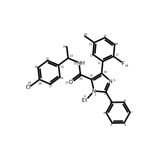 CCn1c(-c2ccccc2)nc(-c2cc(C)ccc2F)c1C(=O)NC(C)c1ccc(Cl)cc1